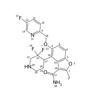 Cc1oc2ccc(OCc3ccc(F)cn3)c(C3CCNCC3(F)F)c2c1C(N)=O